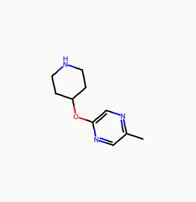 Cc1cnc(OC2CCNCC2)cn1